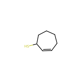 SC1C=CCCCC1